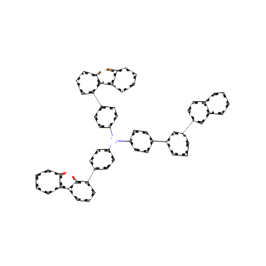 c1cc(-c2ccc(N(c3ccc(-c4cccc5c4oc4ccccc45)cc3)c3ccc(-c4cccc5sc6ccccc6c45)cc3)cc2)cc(-c2ccc3ccccc3c2)c1